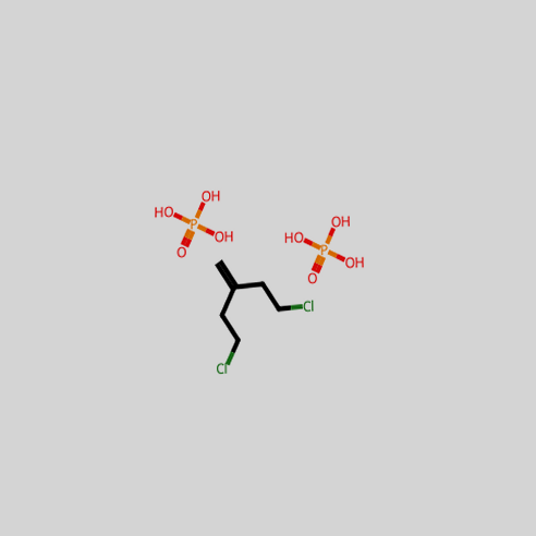 C=C(CCCl)CCCl.O=P(O)(O)O.O=P(O)(O)O